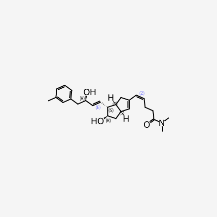 Cc1cccc(C[C@@H](O)/C=C/[C@@H]2[C@H]3CC(/C=C\CCC(=O)N(C)C)=C[C@H]3C[C@H]2O)c1